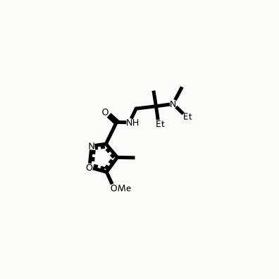 CCN(C)C(C)(CC)CNC(=O)c1noc(OC)c1C